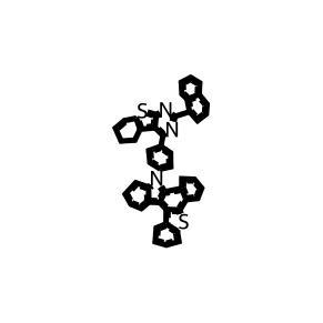 C1=Cc2sc3nc(-c4cccc5ccccc45)nc(-c4ccc(-n5c6ccccc6c6c7c8ccccc8sc7c7ccccc7c65)cc4)c3c2CC1